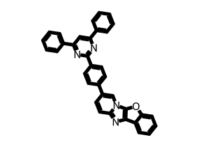 c1ccc(-c2cc(-c3ccccc3)nc(-c3ccc(-c4ccc5nc6c7ccccc7oc6n5c4)cc3)n2)cc1